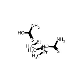 CC(C)C.CC(C)C.CCC.NC(O)=S.NC(O)=S